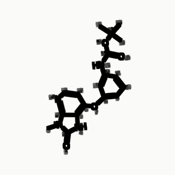 Cn1c(=O)[nH]c2c(Oc3cccc(NC(=O)OC(C)(C)C)c3)ccnc21